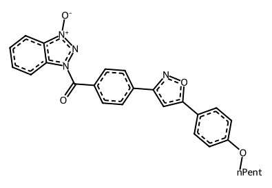 CCCCCOc1ccc(-c2cc(-c3ccc(C(=O)n4n[n+]([O-])c5ccccc54)cc3)no2)cc1